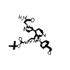 CC(C)(C)OC(=O)NCc1nn(-c2ccc(C=O)cc2)c2nccc(-c3cnn(CC(N)=O)c3)c12